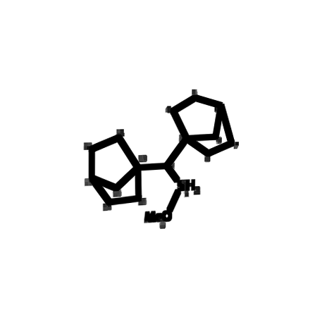 CO[SiH2]C(C12CCC(CC1)C2)C12CCC(CC1)C2